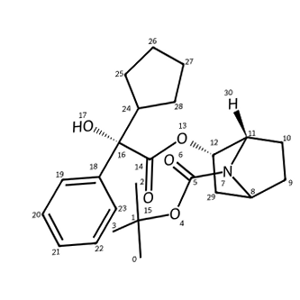 CC(C)(C)OC(=O)N1C2CC[C@H]1[C@@H](OC(=O)[C@@](O)(c1ccccc1)C1CCCC1)C2